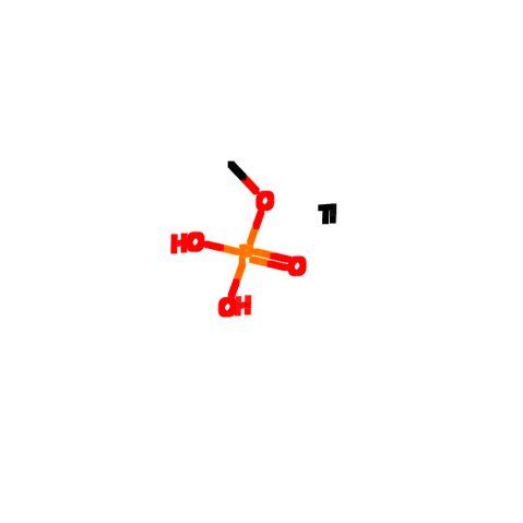 COP(=O)(O)O.[Ti]